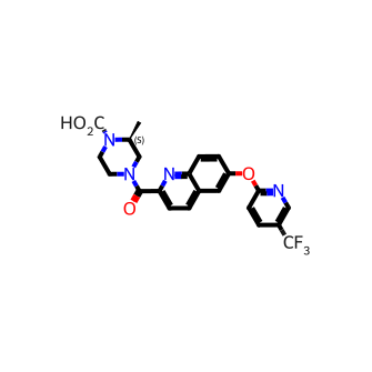 C[C@H]1CN(C(=O)c2ccc3cc(Oc4ccc(C(F)(F)F)cn4)ccc3n2)CCN1C(=O)O